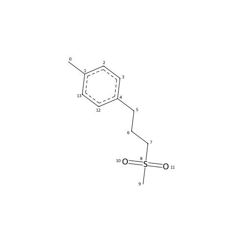 Cc1ccc(CCCS(C)(=O)=O)cc1